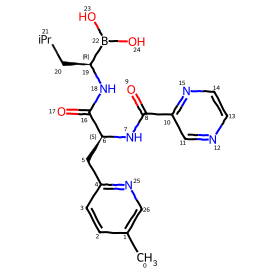 Cc1ccc(C[C@H](NC(=O)c2cnccn2)C(=O)N[C@@H](CC(C)C)B(O)O)nc1